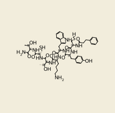 C[C@@H](O)[C@H](NC(=O)[C@H](CS)NC(=O)[C@@H](NC(=O)[C@H](CCCCN)NC(=O)[C@@H](Cc1c[nH]c2ccccc12)NC(=O)[C@H](Cc1ccc(O)cc1)NC(=O)[C@@H](CS)NC(=O)CCc1ccccc1)[C@@H](C)O)C(N)=O